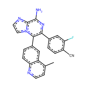 Cc1ccnc2ccc(-c3c(-c4ccc(C#N)c(F)c4)nc(N)c4nccn34)cc12